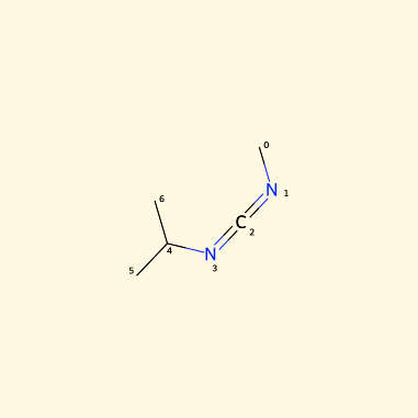 CN=C=NC(C)C